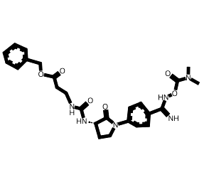 CN(C)C(=O)ONC(=N)c1ccc(N2CC[C@H](NC(=O)NCCC(=O)OCc3ccccc3)C2=O)cc1